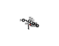 C=CCCC(CCNC)NC1=C(/C=C/c2ccc(F)cc2)CNC(N)=C1C(NC)c1ccc(Oc2ccccc2)cc1